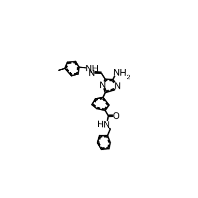 Cc1ccc(NN=Cc2nc(-c3cccc(C(=O)NCc4ccccc4)c3)cnc2N)cc1